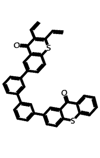 C=Cc1sc2ccc(-c3cccc(-c4cccc(-c5ccc6sc7ccccc7c(=O)c6c5)c4)c3)cc2c(=O)c1C=C